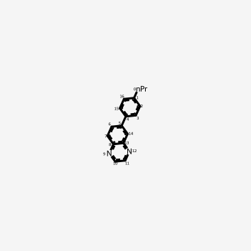 CCCc1ccc(-c2ccc3nccnc3c2)cc1